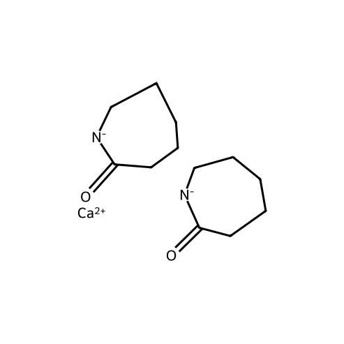 O=C1CCCCC[N-]1.O=C1CCCCC[N-]1.[Ca+2]